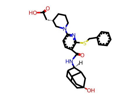 O=C(O)C[C@@H]1CCCN(c2ccc(C(=O)N[C@H]3C4CC5CC3C[C@@](O)(C5)C4)c(SCc3ccccc3)n2)C1